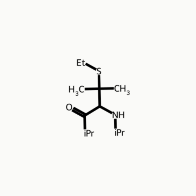 CCSC(C)(C)C(NC(C)C)C(=O)C(C)C